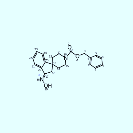 O=C(OCc1ccccc1)N1CCC2(CC1)C/C(=N\O)c1ccccc12